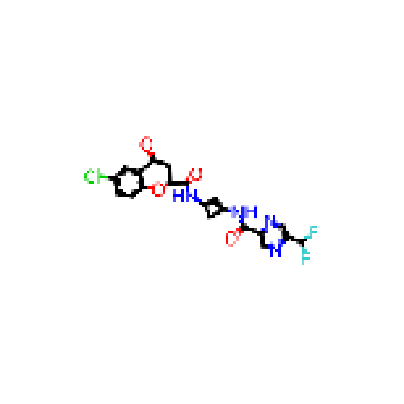 O=C(NC12CC(NC(=O)C3CC(=O)c4cc(Cl)ccc4O3)(C1)C2)c1cnc(C(F)F)cn1